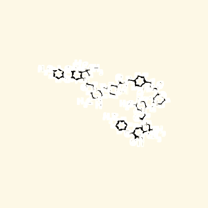 Cc1ccc(Oc2cc3c([nH]c2=O)C(C)(C)CN3C(=O)CN2C[C@@H](C)NC[C@@H]2CN2CCO[C@H](C(=O)NCc3ccc(CNC(=O)[C@@H]4CN(C[C@H]5CN[C@H](C)CN5CC(=O)N5CC(C)(C)c6[nH]c(=O)c(Oc7ccc(C)cc7)cc65)CCO4)cc3)C2)cc1